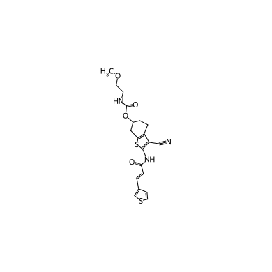 COCCNC(=O)OC1CCc2c(sc(NC(=O)C=Cc3ccsc3)c2C#N)C1